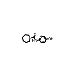 O=C(Nc1ccc(O)cn1)N1CCCCCC1